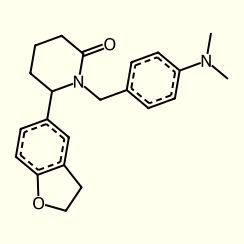 CN(C)c1ccc(CN2C(=O)CCCC2c2ccc3c(c2)CCO3)cc1